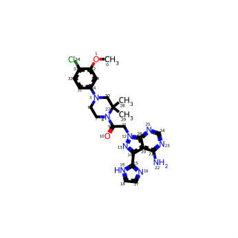 COc1cc(N2CCN(C(=O)Cn3nc(-c4ncc[nH]4)c4c(N)ncnc43)C(C)(C)C2)ccc1Cl